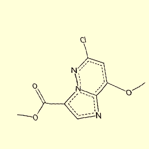 COC(=O)c1cnc2c(OC)cc(Cl)nn12